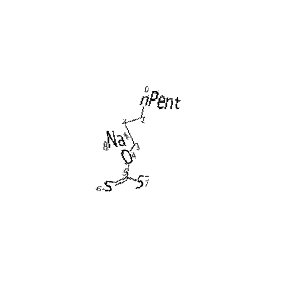 CCCCCCCCOC(=S)[S-].[Na+]